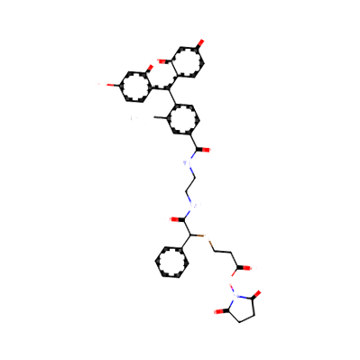 O=C(CCSC(C(=O)NCCNC(=O)c1ccc(-c2c3ccc(=O)cc-3oc3cc(O)ccc23)c(C(=O)O)c1)c1ccccc1)ON1C(=O)CCC1=O